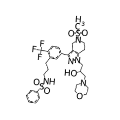 CS(=O)(=O)N1CCc2c(c(-c3ccc(C(F)(F)F)c(CCCNS(=O)(=O)c4ccccc4)c3)nn2CC(O)CN2CCOCC2)C1